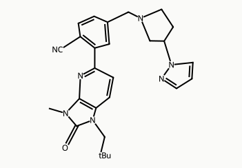 Cn1c(=O)n(CC(C)(C)C)c2ccc(-c3cc(CN4CCC(n5cccn5)C4)ccc3C#N)nc21